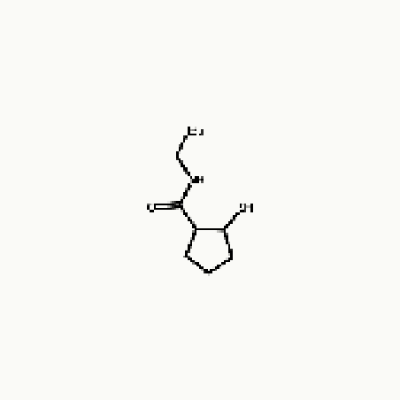 CC(C)(C)CNC(=O)C1CCCC1S